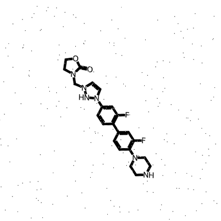 O=C1OCCN1CN1C=CN(c2ccc(-c3ccc(N4CCNCC4)c(F)c3)c(F)c2)N1